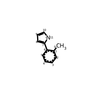 Cc1ccccc1C1=CC=C[N]1